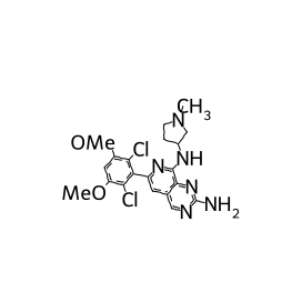 COc1cc(OC)c(Cl)c(-c2cc3cnc(N)nc3c(NC3CCN(C)C3)n2)c1Cl